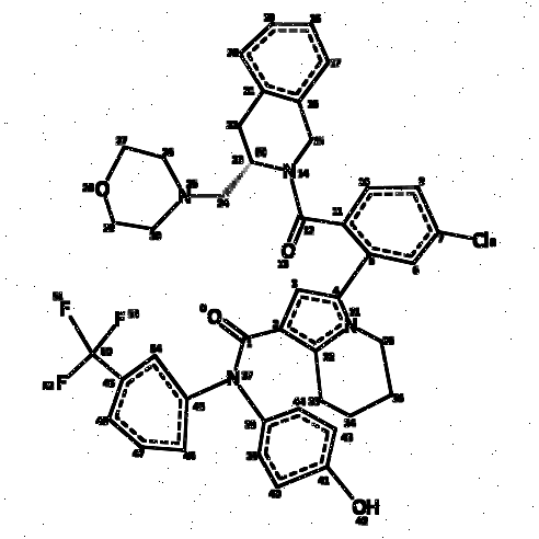 O=C(c1cc(-c2cc(Cl)ccc2C(=O)N2Cc3ccccc3C[C@H]2CN2CCOCC2)n2c1CCCC2)N(c1ccc(O)cc1)c1cccc(C(F)(F)F)c1